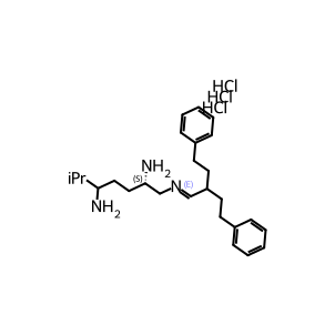 CC(C)C(N)CC[C@H](N)C/N=C/C(CCc1ccccc1)CCc1ccccc1.Cl.Cl.Cl